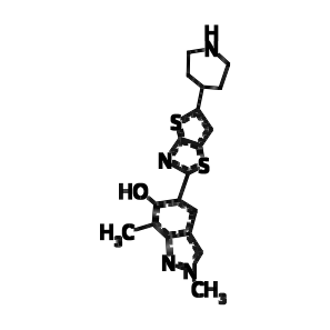 Cc1c(O)c(-c2nc3sc(C4CCNCC4)cc3s2)cc2cn(C)nc12